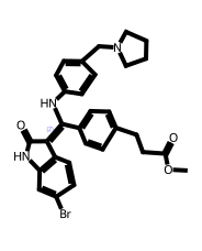 COC(=O)CCc1ccc(/C(Nc2ccc(CN3CCCC3)cc2)=C2/C(=O)Nc3cc(Br)ccc32)cc1